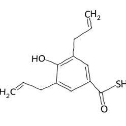 C=CCc1cc(C(=O)S)cc(CC=C)c1O